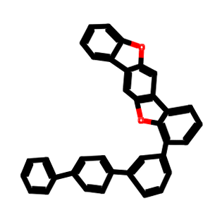 c1ccc(-c2ccc(-c3cccc(-c4cccc5c4oc4cc6c(cc45)oc4ccccc46)c3)cc2)cc1